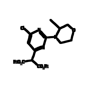 CCOC(=O)C(C(=O)OCC)c1cc(Cl)nc(N2CCOCC2C)n1